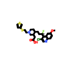 COc1ccc2ncc(Cl)c([C@H](F)CCC3CCN(CCSc4ccsc4)CC3CC(=O)O)c2c1